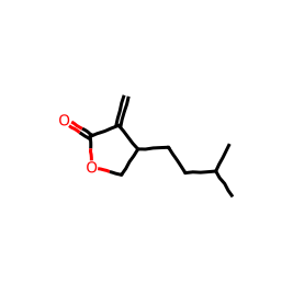 C=C1C(=O)OCC1CCC(C)C